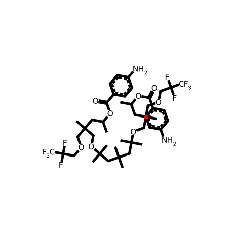 CC(CC(C)(COCC(F)(F)C(F)(F)F)COC(C)(C)CC(C)(C)CC(C)(C)OCC(C)(COCC(F)(F)C(F)(F)F)CC(C)OC(=O)c1ccc(N)cc1)OC(=O)c1ccc(N)cc1